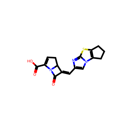 O=C(O)C1=CCC2/C(=C\c3cn4c5c(sc4n3)CCC5)C(=O)N12